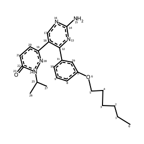 CCCCCCOc1cccc(-c2nc(N)ncc2-c2ccc(=O)n(C(C)C)n2)c1